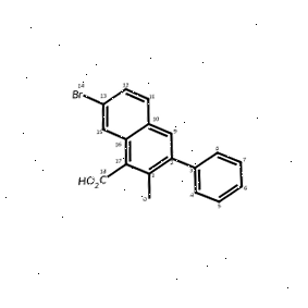 Cc1c(-c2ccccc2)cc2ccc(Br)cc2c1C(=O)O